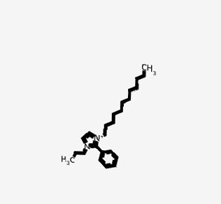 CCCCCCCCCCCC[n+]1ccn(CCC)c1-c1ccccc1